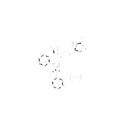 Cc1nc(CCNC(=O)c2ccccc2NS(=O)(=O)c2cccc(C(F)(F)F)c2)c[nH]1.Cl